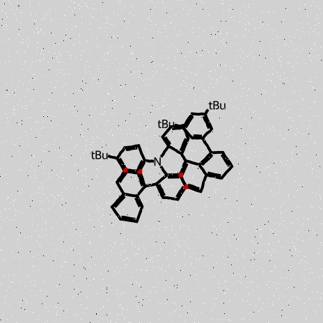 CC(C)(C)c1ccc(N(c2ccccc2-c2cccc3ccccc23)c2ccccc2-c2cccc3cccc(-c4cc(C(C)(C)C)cc(C(C)(C)C)c4)c23)cc1